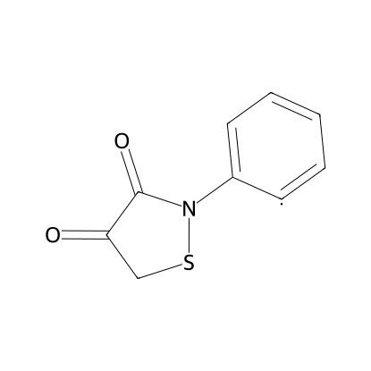 O=C1CSN(c2[c]cccc2)C1=O